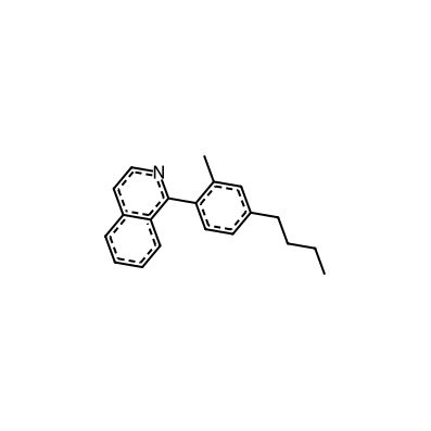 CCCCc1ccc(-c2nccc3ccccc23)c(C)c1